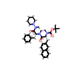 CN(C(=O)OC(C)(C)C)[C@H](Cc1ccc2ccccc2c1)C(=O)N(C)[C@H](Cc1ccccc1)C(=O)N(C)N1CCCCC1